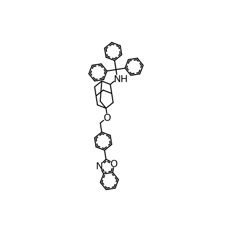 c1ccc(C(NC2C3CC4CC2CC(OCc2ccc(-c5nc6ccccc6o5)cc2)(C4)C3)(c2ccccc2)c2ccccc2)cc1